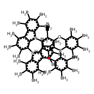 Bc1c(B)c(B)c2c(c1B)Oc1c(B)c(-n3c4c(B)c(B)c(B)c(B)c4c4c(B)c(B)c(B)c(-n5c6c(B)c(B)c(B)c(B)c6c6c(B)c(B)c(B)c(B)c65)c43)c(C#N)c3c1B2c1c(B)c(B)c(B)c(B)c1O3